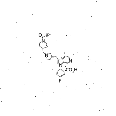 Cc1cncc2c1c(C[C@@H]1CCN(CC3CCN(C(=O)C(C)C)CC3)C1)cn2-c1ccc(F)cc1C(=O)O